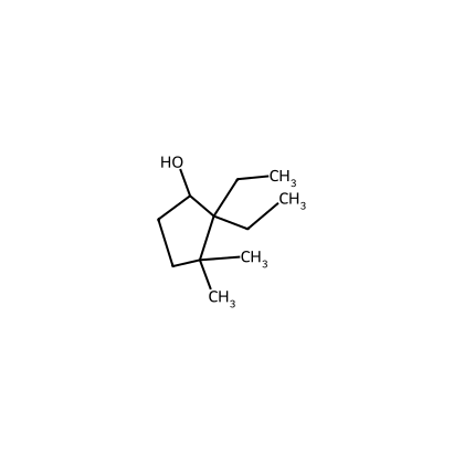 CCC1(CC)C(O)CCC1(C)C